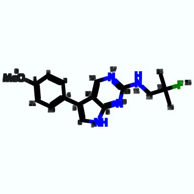 COc1ccc(-c2c[nH]c3nc(NCC(C)(C)F)ncc23)cc1